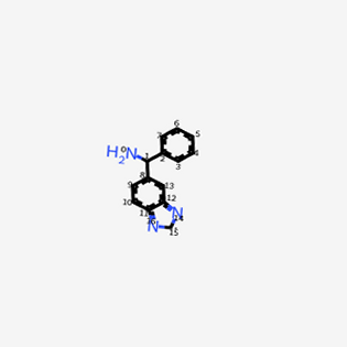 NC(c1ccccc1)c1ccc2c(c1)=N[CH]N=2